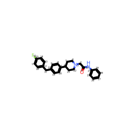 O=C(CN1CCC(c2ccc(Cc3ccc(F)cc3)cc2)CC1)Nc1ccccc1